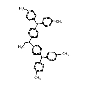 CCC(c1ccc(N(c2ccc(C)cc2)c2ccc(C)cc2)cc1)c1ccc(N(c2ccc(C)cc2)c2ccc(C)cc2)cc1